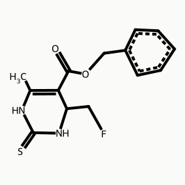 CC1=C(C(=O)OCc2ccccc2)C(CF)NC(=S)N1